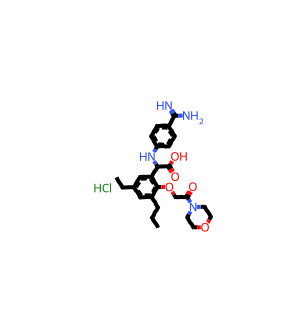 CCCc1cc(CC)cc(C(Nc2ccc(C(=N)N)cc2)C(=O)O)c1OCC(=O)N1CCOCC1.Cl